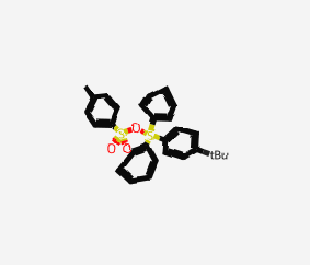 Cc1ccc(S(=O)(=O)OS(c2ccccc2)(c2ccccc2)c2ccc(C(C)(C)C)cc2)cc1